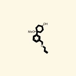 C=CCOCc1cccc([C@]2(OC)CC[C@@H](O)CC2)c1